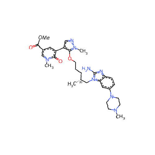 COC(=O)c1cc(-c2cnn(C)c2OCCC[C@@H](C)Cn2c(N)nc3ccc(N4CCN(C)CC4)cc32)c(=O)n(C)c1